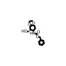 O=C(N[C@@H]1CCC2(C[C@H]1CO)OCCO2)OCc1ccccc1